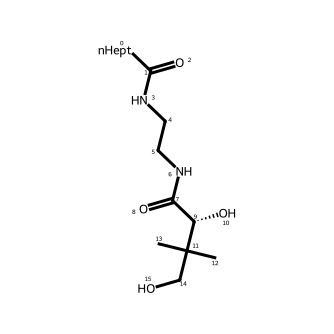 CCCCCCCC(=O)NCCNC(=O)[C@H](O)C(C)(C)CO